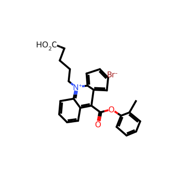 Cc1ccccc1OC(=O)c1c2ccccc2[n+](CCCCC(=O)O)c2ccccc12.[Br-]